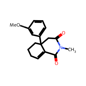 COc1cccc(C23CCCC=C2C(=O)N(C)C(=O)C3)c1